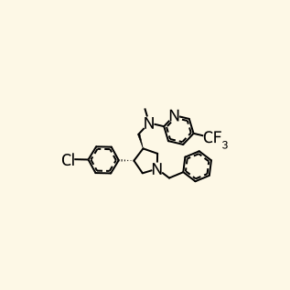 CN(C[C@H]1CN(Cc2ccccc2)C[C@@H]1c1ccc(Cl)cc1)c1ccc(C(F)(F)F)cn1